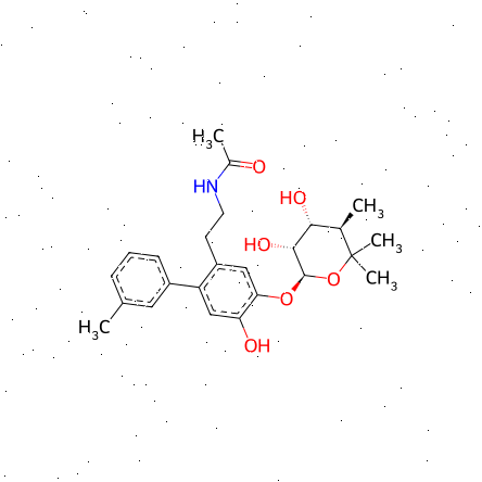 CC(=O)NCCc1cc(O[C@@H]2OC(C)(C)[C@H](C)[C@@H](O)[C@H]2O)c(O)cc1-c1cccc(C)c1